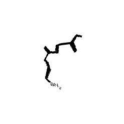 B/C=C/CC(=C)/C=C/C(=C)CC